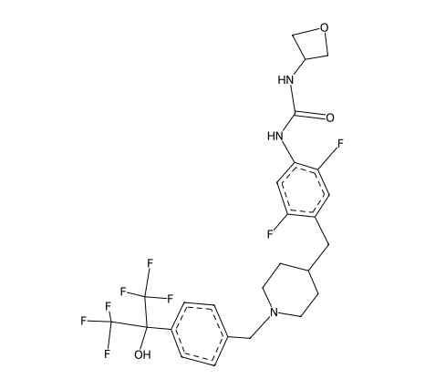 O=C(Nc1cc(F)c(CC2CCN(Cc3ccc(C(O)(C(F)(F)F)C(F)(F)F)cc3)CC2)cc1F)NC1COC1